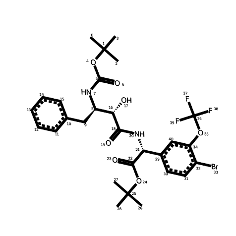 CC(C)(C)OC(=O)N[C@H](Cc1ccccc1)[C@H](O)C(=O)N[C@@H](C(=O)OC(C)(C)C)c1ccc(Br)c(OC(F)(F)F)c1